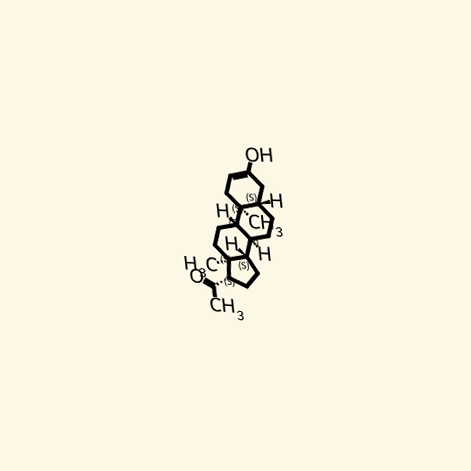 CC(=O)[C@H]1CC[C@H]2[C@@H]3CC[C@H]4CC(O)=CC[C@]4(C)[C@H]3CC[C@]12C